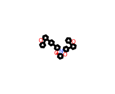 c1cc2c3c(c1)Oc1cc(-c4cccc5oc6ccccc6c45)ccc1N3c1ccc(-c3ccc(-c4cccc5oc6ccccc6c45)cc3)cc1O2